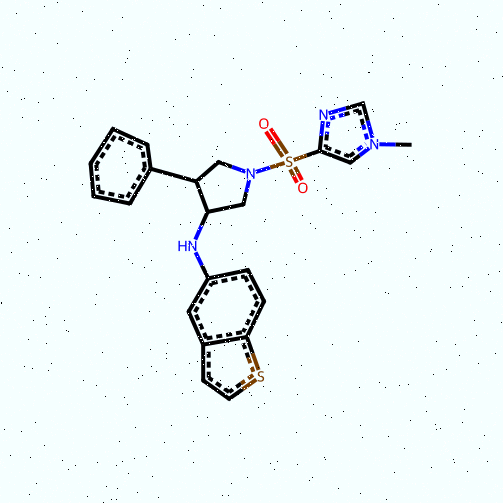 Cn1cnc(S(=O)(=O)N2CC(Nc3ccc4sccc4c3)C(c3ccccc3)C2)c1